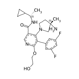 C[C@H](NC(=O)c1cnc(OCCO)c(-c2cc(F)cc(F)c2)c1N1CC[C@](C)(N)C1)C1CC1